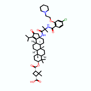 CC(C)C1=C2[C@H]3CC[C@@H]4[C@@]5(C)CC[C@H](OC(=O)[C@H]6C[C@@H](C(=O)O)C6(C)C)C(C)(C)[C@@H]5CC[C@@]4(C)[C@]3(C)CC[C@@]2(NC(=O)C(C)(C)NC(=O)c2ccc(Cl)cc2OCCN2CCCCC2)CC1=O